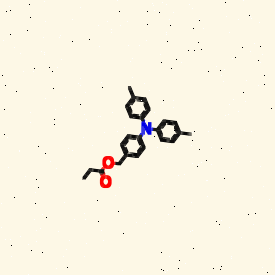 CCC(=O)OCc1ccc(N(c2ccc(C)cc2)c2ccc(C)cc2)cc1